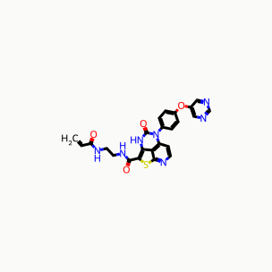 C=CC(=O)NCCNC(=O)c1sc2nccc3c2c1NC(=O)N3c1ccc(Oc2cncnc2)cc1